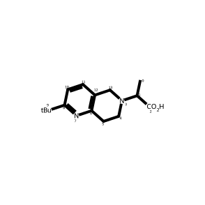 CC(C(=O)O)N1CCc2nc(C(C)(C)C)ccc2C1